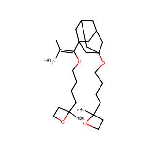 CCCCC1(CCCCOC(=C(C)C(=O)O)C23CC4CC(CC(OCCCCC5(CCCC)CCO5)(C4)C2)C3)CCO1